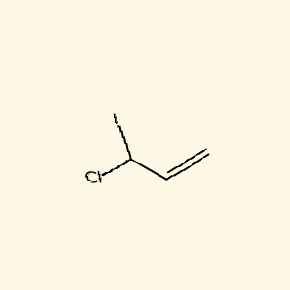 C=CC(Cl)I